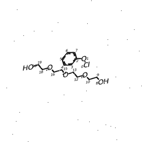 ClOc1ccccc1.OCCOCCOCCOCCO